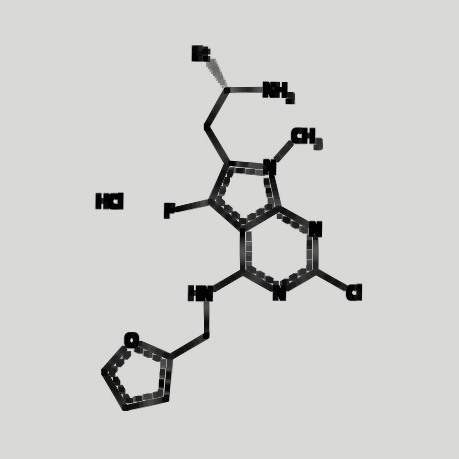 CC[C@H](N)Cc1c(F)c2c(NCc3ccco3)nc(Cl)nc2n1C.Cl